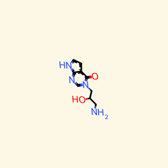 NCC(O)Cn1cnc2[nH]ccc2c1=O